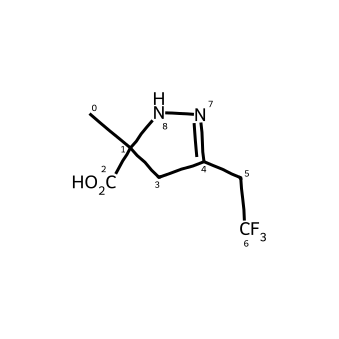 CC1(C(=O)O)CC(CC(F)(F)F)=NN1